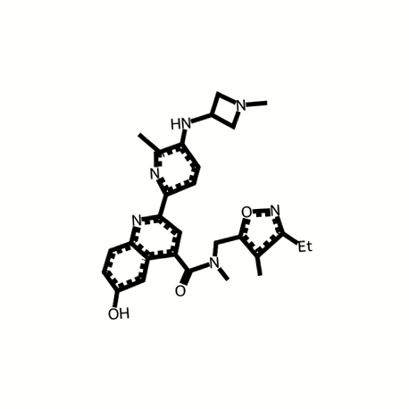 CCc1noc(CN(C)C(=O)c2cc(-c3ccc(NC4CN(C)C4)c(C)n3)nc3ccc(O)cc23)c1C